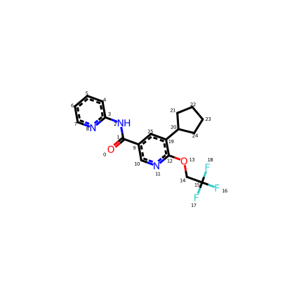 O=C(Nc1ccccn1)c1cnc(OCC(F)(F)F)c(C2CCCC2)c1